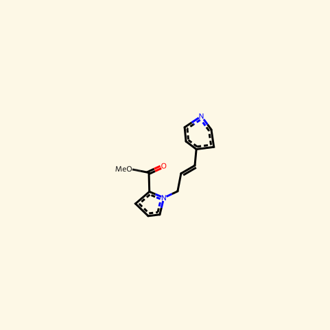 COC(=O)c1cccn1CC=Cc1ccncc1